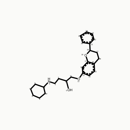 OC(CCNC1CCCCC1)COc1ccc2c(c1)OC(c1ccccc1)CC2